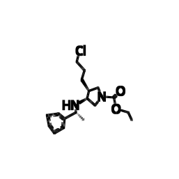 CCOC(=O)N1C[C@H](CCCCl)[C@H](N[C@H](C)c2ccccc2)C1